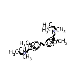 CCO[Si]1(CCC/N=C(\C)CC(C)C)OCCN(CCN2CCO[Si](CCC/N=C(\C)CC(C)C)(OCC)OCC2)CCO1